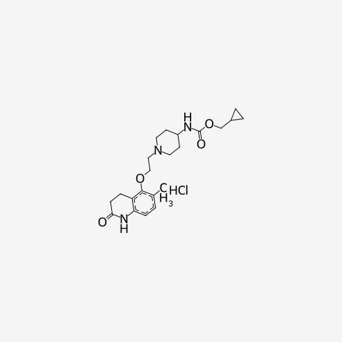 Cc1ccc2c(c1OCCN1CCC(NC(=O)OCC3CC3)CC1)CCC(=O)N2.Cl